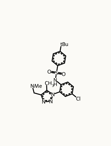 CNCc1nnn(-c2cc(Cl)ccc2NS(=O)(=O)c2ccc(C(C)(C)C)cc2)c1C